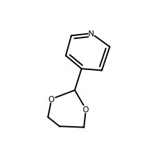 c1cc(C2OCCCO2)ccn1